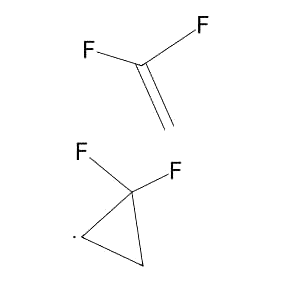 C=C(F)F.FC1(F)[CH]C1